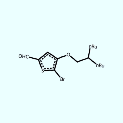 CCCCC(CCCC)COc1cc(C=O)sc1Br